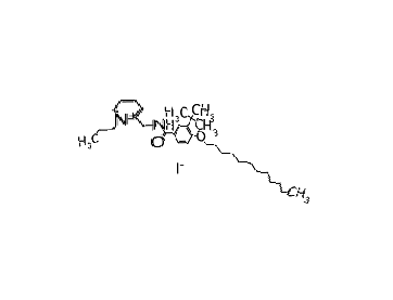 CCCCCCCCCCCCOc1ccc(C(=O)NCc2cccc[n+]2CCC)cc1C(C)(C)C.[I-]